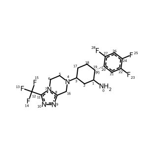 NC1CC(N2CCn3c(nnc3C(F)(F)F)C2)CC[C@@H]1c1cc(F)c(F)cc1F